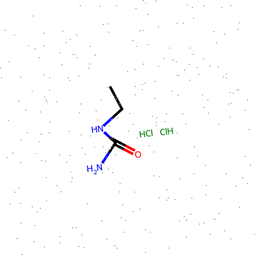 CCNC(N)=O.Cl.Cl